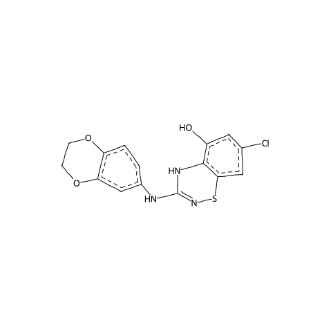 Oc1cc(Cl)cc2c1NC(Nc1ccc3c(c1)OCCO3)=NS2